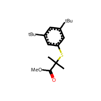 COC(=O)C(C)(C)Sc1cc(C(C)(C)C)cc(C(C)(C)C)c1